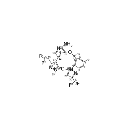 Cc1ccc2c(c1)[C@@H](C)Oc1cc(cnc1N)-c1c(CC(F)F)nn(C)c1Cc1cc(C(F)F)nn1-2